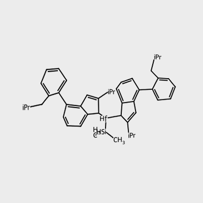 CC(C)Cc1ccccc1-c1cccc2c1C=C(C(C)C)[CH]2[Hf]([CH]1C(C(C)C)=Cc2c(-c3ccccc3CC(C)C)cccc21)[SiH](C)C